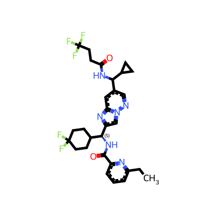 CCc1cccc(C(=O)N[C@H](c2cn3ncc(C(NC(=O)CCC(F)(F)F)C4CC4)cc3n2)C2CCC(F)(F)CC2)n1